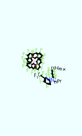 CCCCCCC(F)(F)C(F)(F)C(F)(F)[NH+](CCC)c1cc(F)c(F)c(C(F)(F)C(F)(F)F)c1F.Fc1cc2c([B-](c3c(F)c(F)c(F)c4c(F)c(F)c(F)cc34)(c3c(F)c(F)c(F)c4c(F)c(F)c(F)cc34)c3c(F)c(F)c(F)c4c(F)c(F)c(F)cc34)c(F)c(F)c(F)c2c(F)c1F